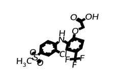 CS(=O)(=O)c1ccc(Nc2cc(C(F)(F)F)ccc2OCC(=O)O)c(Cl)c1